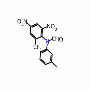 O=CN(c1cccc(I)c1)c1c([N+](=O)[O-])cc([N+](=O)[O-])cc1C(F)(F)F